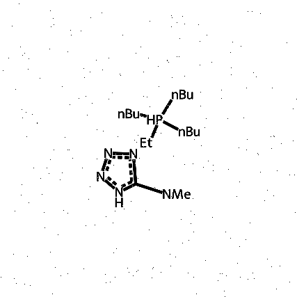 CCCC[PH](CC)(CCCC)CCCC.CNc1nnn[nH]1